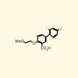 COCCOc1ccc(-c2ccc(F)cc2F)cc1C(=O)O